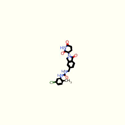 Cc1ccc(Cl)cc1NC(=O)NCc1ccc2c(c1)CN(C1CCC(=O)NC1=O)C2=O